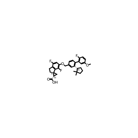 COc1ccc(F)c(-c2ccc(COc3cc(F)c4c(c3F)[C@]3(CC4)C[C@@H]3C(=O)O)cc2[C@@H]2CCCC2(C)C)c1